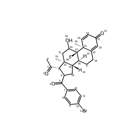 CC(=O)[C@H]1C(C(=O)c2ccc(Br)cc2)C[C@H]2[C@@H]3CCC4=CC(=O)C=C[C@]4(C)[C@@]3(F)C(O)C[C@]12C